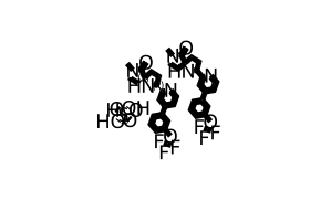 CN1CCC2(CCC(c3cc(-c4cccc(OC(F)(F)F)c4)ccn3)N2)C1=O.CN1CC[C@@]2(CC[C@H](c3cc(-c4cccc(OC(F)(F)F)c4)ccn3)N2)C1=O.O.O=S(=O)(O)O